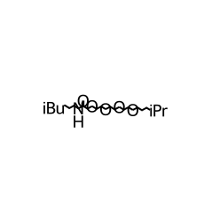 CCC(C)CCCNC(=O)COCCOCCOCCOCCCC(C)C